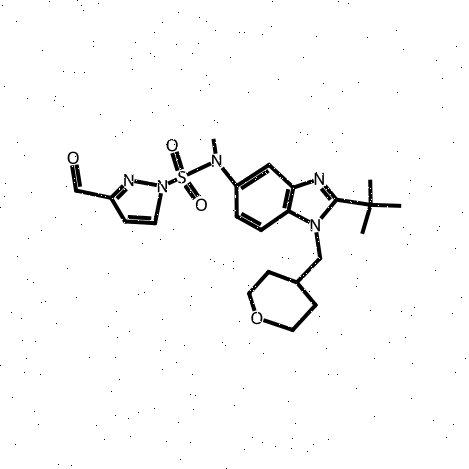 CN(c1ccc2c(c1)nc(C(C)(C)C)n2CC1CCOCC1)S(=O)(=O)n1ccc(C=O)n1